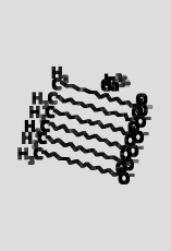 CCCCCCCCCCCCCCCC(=O)[O-].CCCCCCCCCCCCCCCC(=O)[O-].CCCCCCCCCCCCCCCC(=O)[O-].CCCCCCCCCCCCCCCC(=O)[O-].CCCCCCCCCCCCCCCC(=O)[O-].CCCCCCCCCCCCCCCC(=O)[O-].[Ga+3].[In+3]